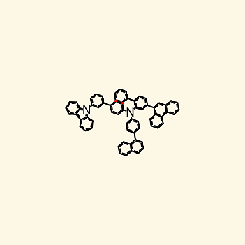 c1ccc(-c2ccc(-c3cc4ccccc4c4ccccc34)cc2N(c2ccc(-c3cccc(-n4c5ccccc5c5ccccc54)c3)cc2)c2ccc(-c3cccc4ccccc34)cc2)cc1